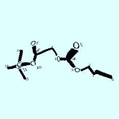 C=CCOC(=O)OCC(=O)O[Si](C)(C)C